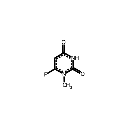 Cn1c(F)cc(=O)[nH]c1=O